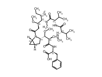 CC[C@H](C)[C@@H]([C@@H](CC(=O)N1[C@H](C(OC)[C@@H](C)C(=O)N[C@@H](Cc2ccccc2)C(=O)O)C[C@@H]2C[C@@H]21)OC)N(C)C(=O)[C@@H](NC(=O)[C@@H](NC)C(C)C)C(C)C